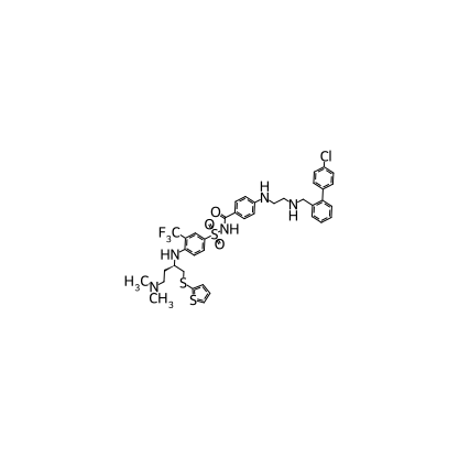 CN(C)CC[C@H](CSc1cccs1)Nc1ccc(S(=O)(=O)NC(=O)c2ccc(NCCNCc3ccccc3-c3ccc(Cl)cc3)cc2)cc1C(F)(F)F